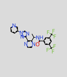 CC(NC(=O)c1cc(C(F)(F)F)cc(C(F)(F)F)c1)c1nccnc1-c1ncn(-c2cccnc2)n1